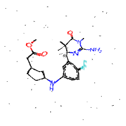 COC(=O)CC1CCC(Nc2ccc(F)c([C@]3(C)N=C(N)N(C)C(=O)C3(C)C)c2)C1